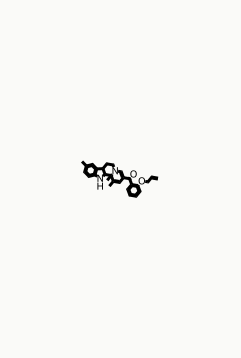 C=CCOc1ccccc1C(=O)C1=CN2CCC3c4cc(C)ccc4NC3C2(C)C(C)=C1